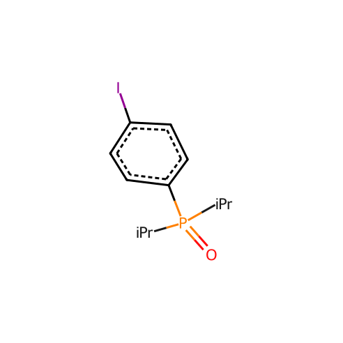 CC(C)P(=O)(c1ccc(I)cc1)C(C)C